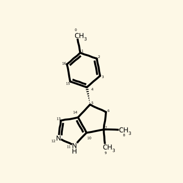 Cc1ccc([C@@H]2CC(C)(C)c3[nH]ncc32)cc1